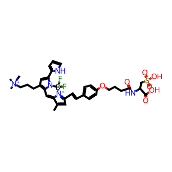 CC1=CC(C=Cc2ccc(OCCCC(=O)NC(CS(=O)(=O)O)C(=O)O)cc2)=[N+]2C1=Cc1c(CCC[N+](C)(C)C)cc(-c3ccc[nH]3)n1[B-]2(F)F